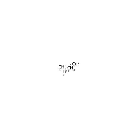 [CH3-].[CH3-].[Cu+].[Li+]